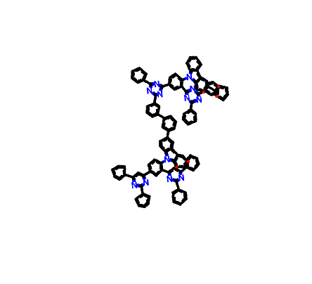 c1ccc(-c2ccc3c(c2)c2ccccc2n3-c2ccc(-c3nc(-c4ccccc4)nc(-c4cccc(-c5cccc(-c6ccc7c(c6)c6ccccc6n7-c6ccc(-c7cc(-c8ccccc8)nc(-c8ccccc8)n7)cc6-c6cc(-c7ccccc7)nc(-c7ccccc7)n6)c5)c4)n3)cc2-c2nc(-c3ccccc3)nc(-c3ccccc3)n2)cc1